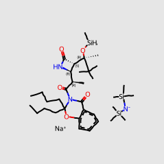 CCCCC1(CCCC)Oc2ccccc2C(=O)N1C(=O)[C@H](C)[C@H]1NC(=O)[C@@H]1[C@@](C)(O[SiH](C)C)C(C)(C)C.C[Si](C)(C)[N-][Si](C)(C)C.[Na+]